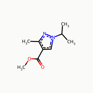 COC(=O)c1cn(C(C)C)nc1C